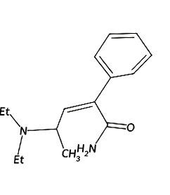 CCN(CC)C(C)C=C(C(N)=O)c1ccccc1